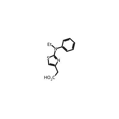 CCN(c1ccccc1)c1nc(CC(=O)O)cs1